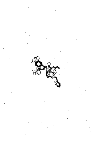 CCCC[C@@H](NC(=O)N(Cc1cccs1)Cc1cccs1)C(=O)N[C@@](C)(CC(=O)O)c1ccc2c(c1)OCO2